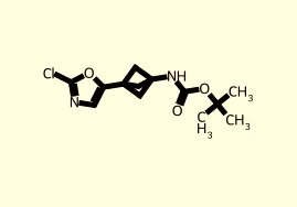 CC(C)(C)OC(=O)NC12CC(c3cnc(Cl)o3)(C1)C2